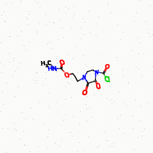 CNC(=O)OCCN1CCN(C(=O)Cl)C(=O)C1=O